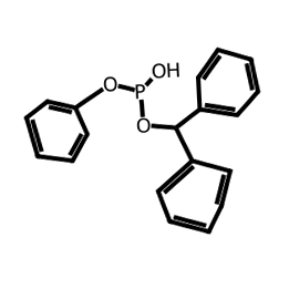 OP(Oc1ccccc1)OC(c1ccccc1)c1ccccc1